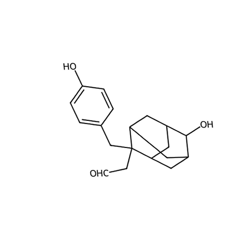 O=CCC1(Cc2ccc(O)cc2)C2CC3CC1CC(C2)C3O